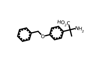 CC(N)(C(=O)O)c1ccc(OCc2ccccc2)cc1